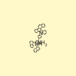 NC(/C=C(\NCC1=CC=CC2=CC=CCC21)c1cccc2ccccc12)c1ccc(N2c3c(c4c5ccccc5ccc4c4ccccc34)C3C=CC=CC32)cc1